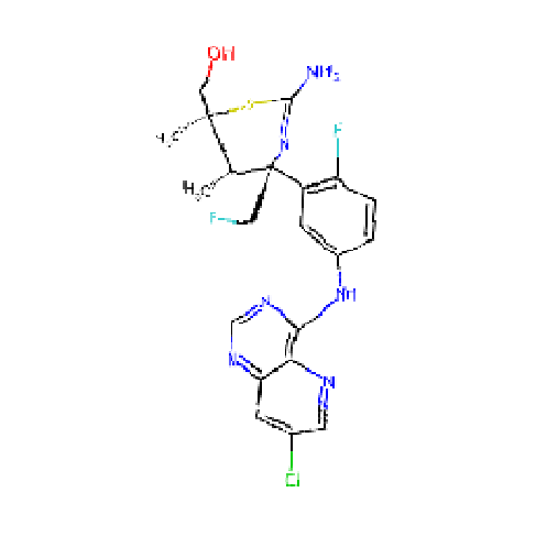 C[C@@H]1[C@@](C)(CO)SC(N)=N[C@]1(CF)c1cc(Nc2ncnc3cc(Cl)cnc23)ccc1F